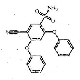 N#Cc1cc(S(N)(=O)=O)c(Oc2ccccc2)cc1Oc1ccccc1